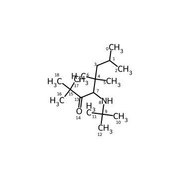 CC(C)CC(C)(C)C(NC(C)(C)C)C(=O)C(C)(C)C